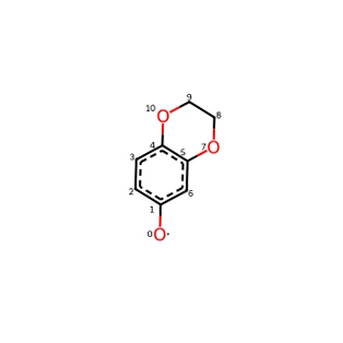 [O]c1ccc2c(c1)OCCO2